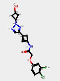 O=C(COc1ccc(Cl)c(F)c1)NC12CC(c3cnn(C4CC(O)C4)n3)(C1)C2